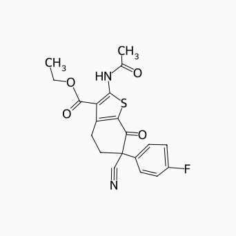 CCOC(=O)c1c(NC(C)=O)sc2c1CCC(C#N)(c1ccc(F)cc1)C2=O